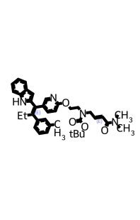 CC/C(=C(/c1ccc(OCCN(C/C=C/C(=O)N(C)C)C(=O)OC(C)(C)C)nc1)c1cc2ccccc2[nH]1)c1cccc(C)c1